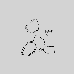 O[C@@H](C(c1ccccc1)c1ccccc1)[C@H]1CCCN1